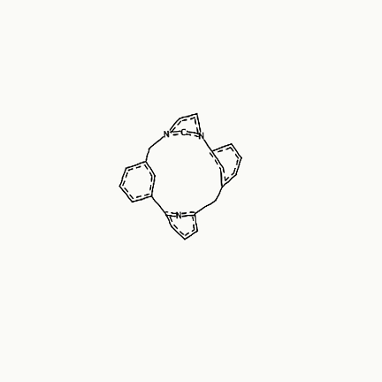 c1cc2cc(c1)-c1cccc(n1)Cc1cccc(c1)-n1cc[n+](c1)C2